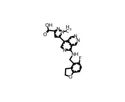 Cn1nc(C(=O)O)cc1-c1cnc(NCc2c(F)ccc3c2CCO3)c2cnncc12